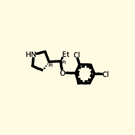 CC[C@@H](Oc1ccc(Cl)cc1Cl)[C@@H]1CCNC1